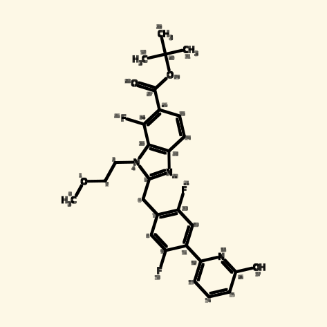 COCCn1c(Cc2cc(F)c(-c3cccc(O)n3)cc2F)nc2ccc(C(=O)OC(C)(C)C)c(F)c21